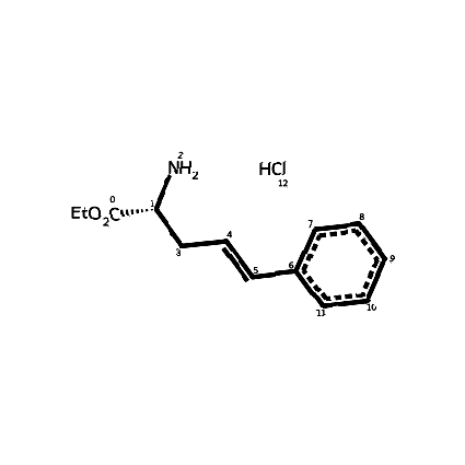 CCOC(=O)[C@H](N)C/C=C/c1ccccc1.Cl